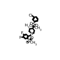 CC(C)(C1CCN(C(=O)c2cc(F)c(F)cc2S(C)(=O)=O)CC1)S(=O)(=O)c1cccc(Cl)c1